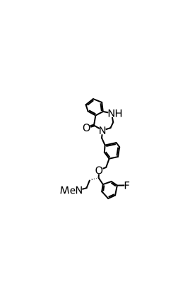 CNCC[C@H](OCc1cccc(CN2CCNc3ccccc3C2=O)c1)c1cccc(F)c1